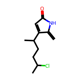 C=C1NC(=O)C=C1C(C)CCC(C)Cl